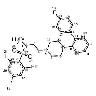 CN(CCN1CCN(c2nccnc2-c2ccc(F)cc2)CC1)S(=O)(=O)c1c(F)cc(F)cc1F